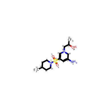 NC1=CC(S(=O)(=O)N2CCC(C(F)(F)F)CC2)=CN(CC(O)C(F)(F)F)C1